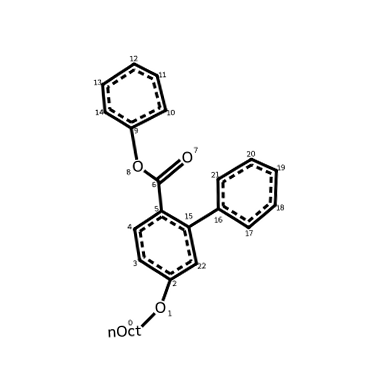 CCCCCCCCOc1ccc(C(=O)Oc2ccccc2)c(-c2ccccc2)c1